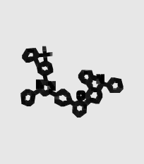 CC1(C)c2ccccc2-c2cc(-c3nc(-c4ccccc4)cc(-c4ccc(-c5cccc6c5oc5c6ccc6c(-c7ccccc7)nc7ccccc7c65)cc4)n3)ccc21